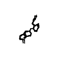 N#CCc1ccccc1Cc1ccc2[nH]ccc2c1